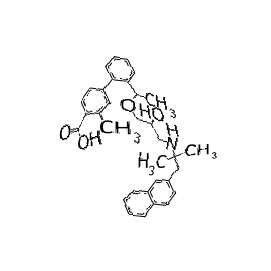 Cc1cc(-c2ccccc2C(C)OC[C@@H](O)CNC(C)(C)Cc2ccc3ccccc3c2)ccc1C(=O)O